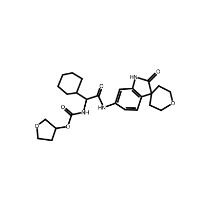 O=C(NC(C(=O)Nc1ccc2c(c1)NC(=O)C21CCOCC1)C1CCCCC1)OC1CCOC1